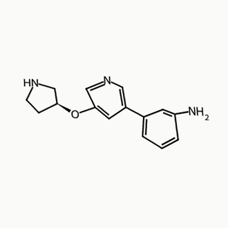 Nc1cccc(-c2cncc(O[C@H]3CCNC3)c2)c1